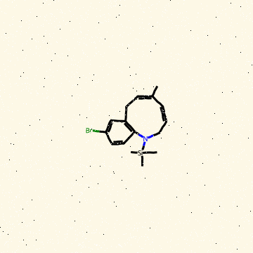 CC1=C/Cc2cc(Br)ccc2N([Si](C)(C)C)C/C=C\1